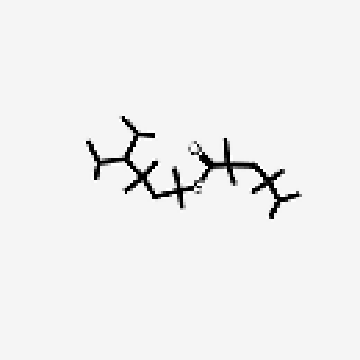 CC(C)C(C(C)C)C(C)(C)CC(C)(C)SC(=O)C(C)(C)CC(C)(C)C(C)C